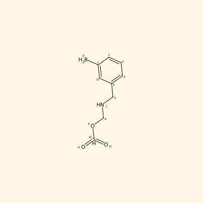 Bc1cccc(CNCO[SH](=O)=O)c1